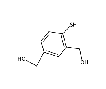 OCc1ccc(S)c(CO)c1